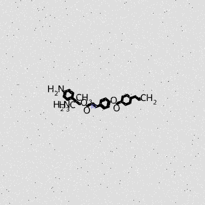 C=CCC1CCC(C(=O)Oc2ccc(/C=C/C(=O)OCC(C)(C)c3ccc(N)cc3N)cc2)CC1